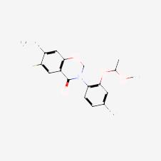 CCOC(C)Oc1cc([N+](=O)[O-])ccc1N1COc2cc(NC)c(F)cc2C1=O